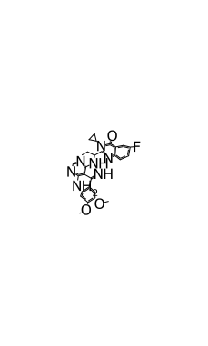 CCC(Nc1ncnc(N)c1C(=N)c1ccc(OC)c(OC)c1)c1nc2ccc(F)cc2c(=O)n1C1CC1